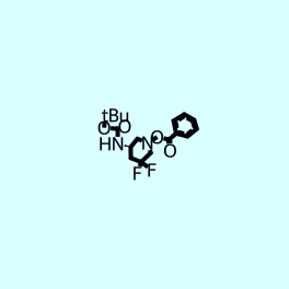 CC(C)(C)OC(=O)N[C@@H]1CN(OC(=O)c2ccccc2)CC(F)(F)C1